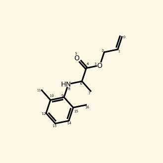 C=CCOC(=O)C(C)Nc1c(C)cccc1C